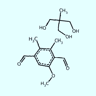 CC(CO)(CO)CO.COc1cc(C=O)c(C)c(C)c1C=O